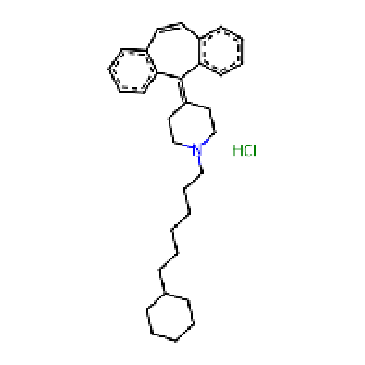 C1=Cc2ccccc2C(=C2CCN(CCCCCCC3CCCCC3)CC2)c2ccccc21.Cl